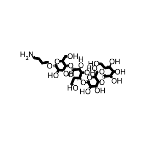 NCCCCO[C@@H]1OC(CO)[C@@H](O[C@H]2OC(CO)[C@H](O[C@H]3OC(CO)[C@@H](O[C@@H]4OC(CO)[C@@H](O)C(O)C4O)C(O)C3O)C(O)C2O)C(O)C1O